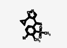 Cc1c(Br)ccc(C(=S)c2cnoc2C2CC2)c1S(C)(=O)=O